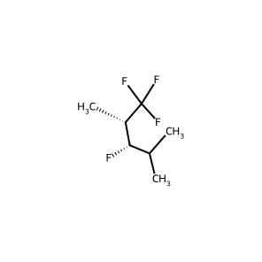 CC(C)[C@H](F)[C@H](C)C(F)(F)F